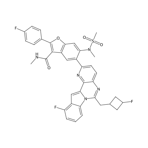 CNC(=O)c1c(-c2ccc(F)cc2)oc2cc(N(C)S(C)(=O)=O)c(-c3ccc4nc(CC5CC(F)C5)n5c6cccc(F)c6cc5c4n3)cc12